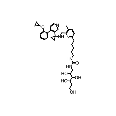 Cc1ccc(CCCCCNC(=O)NCC(O)C(O)C(O)CCO)nc1CNC1(c2cnccc2-c2ccccc2OC2CC2)CC1